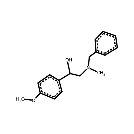 COc1ccc(C(O)CN(C)Cc2ccccc2)cc1